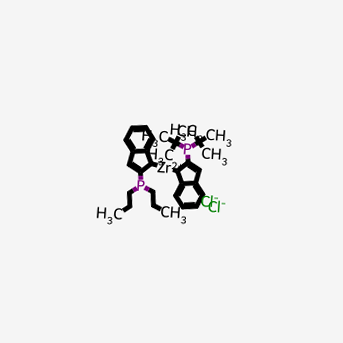 CCCP(CCC)C1=Cc2ccccc2[CH]1[Zr+2][CH]1C(P(C(C)(C)C)C(C)(C)C)=Cc2ccccc21.[Cl-].[Cl-]